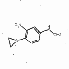 O=CNc1cnc(N2CC2)c([N+](=O)[O-])c1